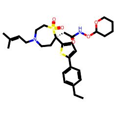 CCc1ccc(-c2ccc([C@@]3(CC(=O)NOC4CCCCO4)CCN(CC=C(C)C)CCS3(=O)=O)s2)cc1